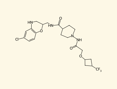 O=C(COC1CC(C(F)(F)F)C1)NN1CCC(C(=O)NCC2CNc3cc(Cl)ccc3O2)CC1